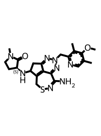 COc1c(C)cnc(CN2N=C3CC(N[C@H]4CCN(C)C4=O)C4=C3C(=N2)C(N)=NSC4)c1C